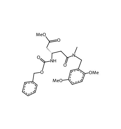 COC(=O)C[C@H](CC(=O)N(C)Cc1cc(OC)ccc1OC)NC(=O)OCc1ccccc1